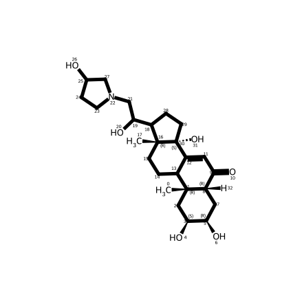 C[C@]12C[C@H](O)[C@H](O)C[C@H]1C(=O)C=C1C2CC[C@]2(C)C(C(O)CN3CCC(O)C3)CC[C@@]12O